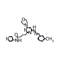 Cc1cccc(/C=N/Nc2cc(N3CCOCC3)nc(CCCC(=O)Nc3ccncc3)n2)c1